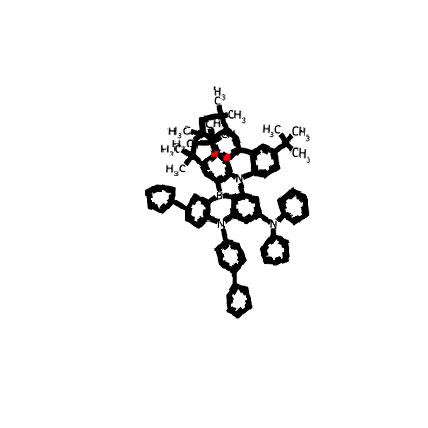 CC(C)(C)c1ccc(N2c3cc4c(cc3B3c5cc(-c6ccccc6)ccc5N(c5ccc(-c6ccccc6)cc5)c5cc(N(c6ccccc6)c6ccccc6)cc2c53)C(C)(C)CC4(C)C)c(-c2ccc3c(c2)C(C)(C)CC3(C)C)c1